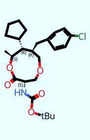 C[C@@H]1OC(=O)[C@@H](NC(=O)OC(C)(C)C)COC[C@H](Cc2ccc(Cl)cc2)[C@H]1C1CCCC1